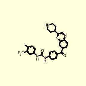 O=C(Nc1ccc(C(=O)c2ccc3ncc(C4CCNCC4)nc3c2)cc1)Nc1ccc(F)c(C(F)(F)F)c1